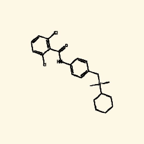 C[N+](C)(Cc1ccc(NC(=O)c2c(Cl)cccc2Cl)cc1)C1CCCCC1